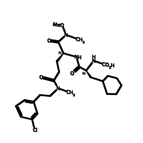 CON(C)C(=O)[C@H](CCC(=O)N(C)CCc1cccc(Cl)c1)NC(=O)[C@H](CC1CCCCC1)NC(=O)O